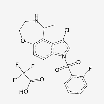 CC1NCCOc2ccc3c(c(Cl)cn3S(=O)(=O)c3ccccc3F)c21.O=C(O)C(F)(F)F